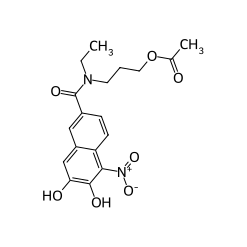 CCN(CCCOC(C)=O)C(=O)c1ccc2c([N+](=O)[O-])c(O)c(O)cc2c1